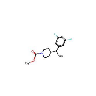 CC(C)(C)OC(=O)N1CCC(C(c2cc(F)cc(F)c2)C(C)(C)C)CC1